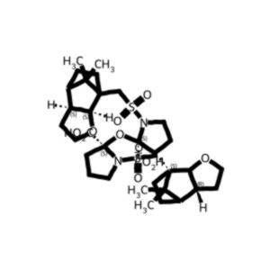 CC1(C)C2CCC1(CS(=O)(=O)N1CCC[C@]1(O[C@]1(C(=O)O)CCCN1S(=O)(=O)C[C@]13CCC([C@H]4CCOC41)C3(C)C)C(=O)O)[C@H]1OCC[C@@H]21